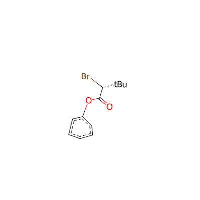 CC(C)(C)[C@@H](Br)C(=O)Oc1ccccc1